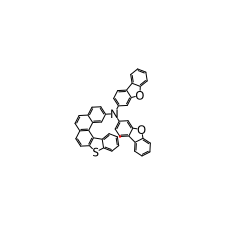 c1ccc2c(c1)oc1cc(N(c3ccc4c(c3)oc3ccccc34)c3ccc4ccc5ccc6sc7ccccc7c6c5c4c3)ccc12